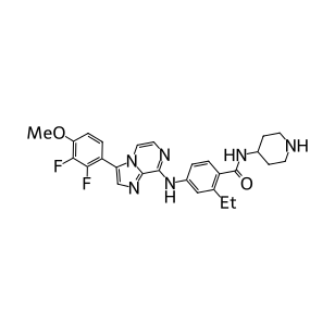 CCc1cc(Nc2nccn3c(-c4ccc(OC)c(F)c4F)cnc23)ccc1C(=O)NC1CCNCC1